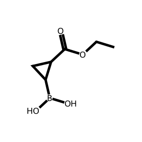 CCOC(=O)C1CC1B(O)O